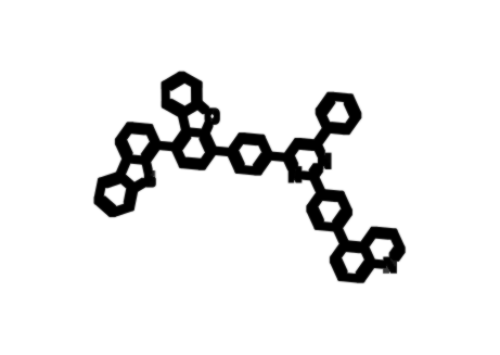 c1ccc(-c2cc(-c3ccc(-c4ccc(-c5cccc6c5sc5ccccc56)c5c4oc4ccccc45)cc3)nc(-c3ccc(-c4cccc5ncccc45)cc3)n2)cc1